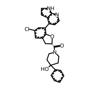 O=C([C@@H]1Cc2cc(Cl)cc(-c3ccnc4[nH]ccc34)c2O1)N1CCC(O)(c2ccccc2)CC1